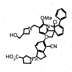 COc1nc(C2(COc3ccc4c(c3C#N)CC[C@H]4N3CCC(C(=O)O)C3)C=CC=C(c3ccccc3)C2(C)Cl)ccc1CN1CC(CO)C1